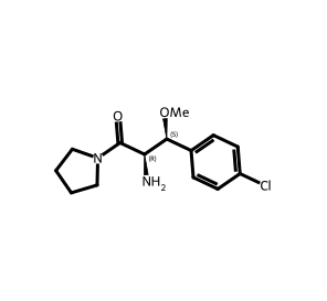 CO[C@@H](c1ccc(Cl)cc1)[C@@H](N)C(=O)N1CCCC1